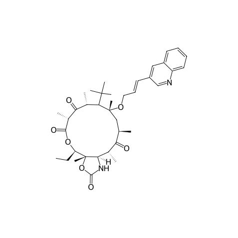 CC[C@H]1OC(=O)[C@H](C)C(=O)[C@H](C)C(C(C)(C)C)[C@](C)(OC/C=C/c2cnc3ccccc3c2)C[C@@H](C)C(=O)[C@H](C)[C@H]2NC(=O)O[C@@]21C